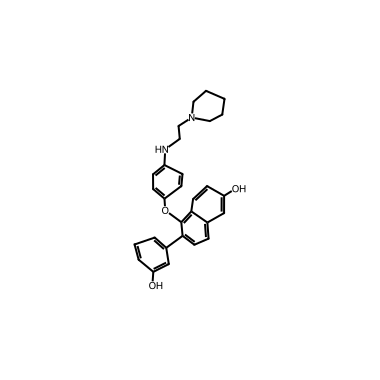 Oc1cccc(-c2ccc3cc(O)ccc3c2Oc2ccc(NCCN3CCCCC3)cc2)c1